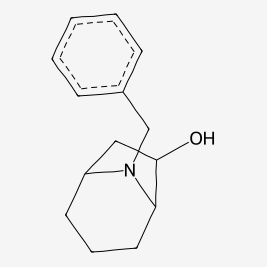 OC1CC2CCCC1N2Cc1ccccc1